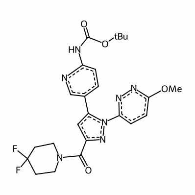 COc1ccc(-n2nc(C(=O)N3CCC(F)(F)CC3)cc2-c2ccc(NC(=O)OC(C)(C)C)nc2)nn1